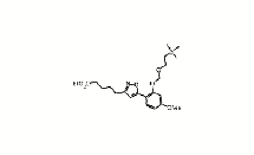 CCOC(=O)CCCCc1cc(-c2ccc(OC)cc2OCOCC[Si](C)(C)C)on1